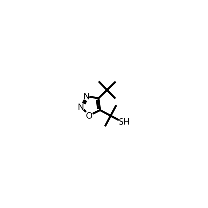 CC(C)(C)c1nnoc1C(C)(C)S